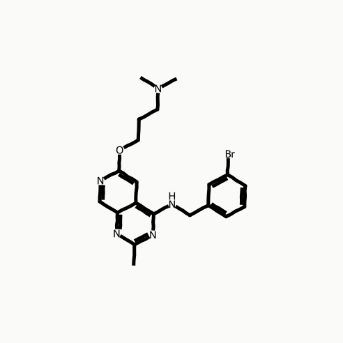 Cc1nc(NCc2cccc(Br)c2)c2cc(OCCCN(C)C)ncc2n1